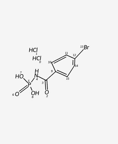 Cl.Cl.O=C(NP(=O)(O)O)c1ccc(Br)cc1